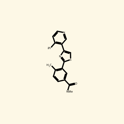 CNC(=O)c1ccc(C)c(-c2nc(-c3cnccc3C(C)C)cs2)c1